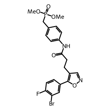 COP(=O)(Cc1ccc(NC(=O)CCc2cnoc2-c2ccc(F)c(Br)c2)cc1)OC